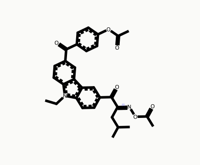 CCn1c2ccc(C(=O)/C(CC(C)C)=N/OC(C)=O)cc2c2cc(C(=O)c3ccc(OC(C)=O)cc3)ccc21